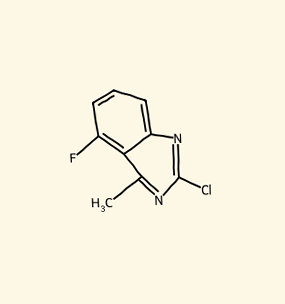 Cc1nc(Cl)nc2cccc(F)c12